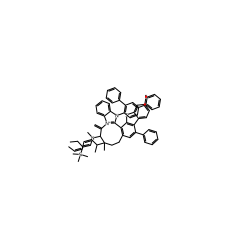 C=C1C(N(C)/C=C(\CC)[Si](C)(C)C)C(C)(C(C)/C=C\C=C/C)CCc2cc(-c3ccccc3)c3c(sc4cc(F)ccc43)c2-c2n(-c3ccc(-c4ccccc4)cc3-c3ccccc3)c3ccccc3[n+]21